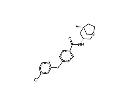 O=C(N[C@@H]1C[C@H]2CCN(C2)C1)c1ccc(Sc2cccc(Cl)c2)cc1